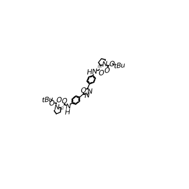 CC(C)(C)OC(=O)N1CCC[C@H]1C(=O)Nc1ccc(-c2nnc(-c3ccc(NC(=O)[C@@H]4CCCN4C(=O)OC(C)(C)C)cc3)o2)cc1